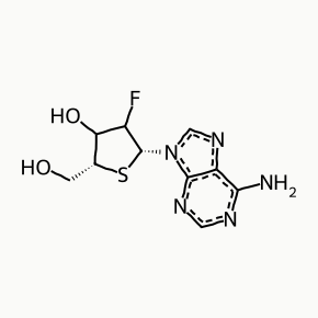 Nc1ncnc2c1ncn2[C@@H]1S[C@H](CO)C(O)C1F